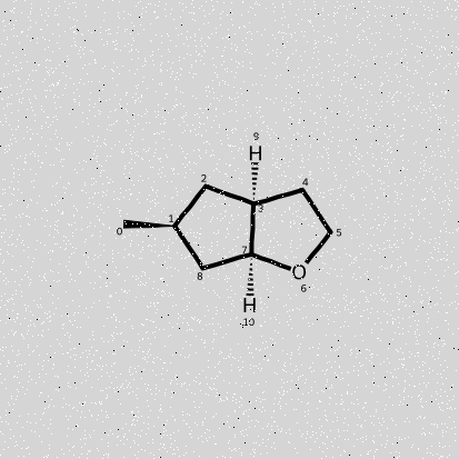 C[C@H]1C[C@H]2CCO[C@H]2C1